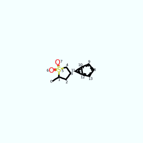 CC1CCCS1(=O)=O.c1cc2cc-2c1